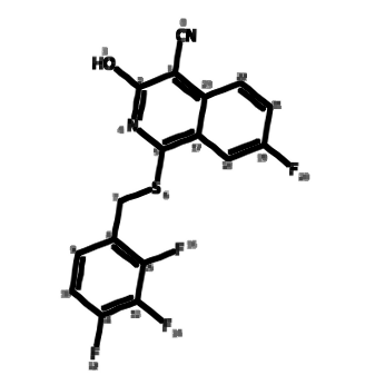 N#Cc1c(O)nc(SCc2ccc(F)c(F)c2F)c2cc(F)ccc12